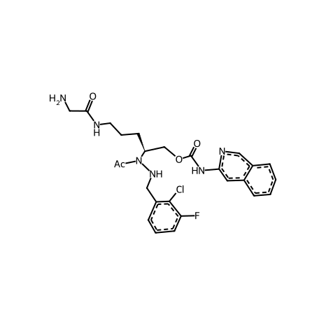 CC(=O)N(NCc1cccc(F)c1Cl)[C@@H](CCCNC(=O)CN)COC(=O)Nc1cc2ccccc2cn1